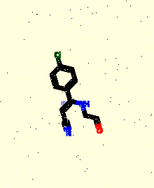 N#C/C=C(\NCC=O)c1ccc(Cl)cc1